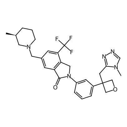 C[C@H]1CCCN(Cc2cc3c(c(C(F)(F)F)c2)CN(c2cccc(C4(Cc5nncn5C)COC4)c2)C3=O)C1